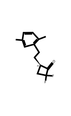 Cc1ccc(C)c(CC[C@@H]2CC(F)(F)C2=O)c1